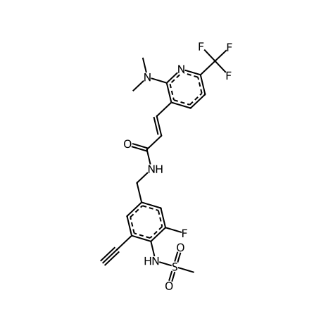 C#Cc1cc(CNC(=O)C=Cc2ccc(C(F)(F)F)nc2N(C)C)cc(F)c1NS(C)(=O)=O